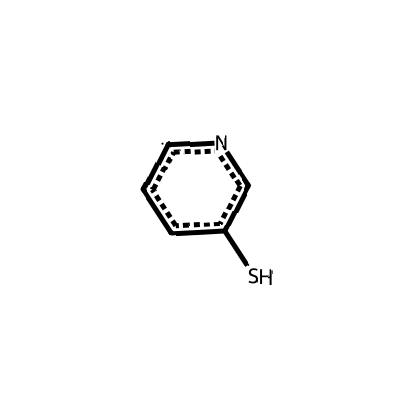 Sc1cc[c]nc1